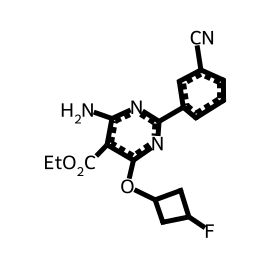 CCOC(=O)c1c(N)nc(-c2cccc(C#N)c2)nc1OC1CC(F)C1